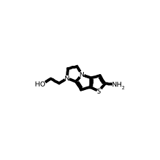 Nc1cc2c(cc3n2CCN3CCO)s1